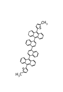 Cc1ccc(-c2c3c(c(-c4ccc(-c5ccc(-c6c7ccccc7c(-c7ccc(C)s7)c7ccccc67)c6ccccc56)c5ccccc45)c4ccccc24)=CCCC=3)s1